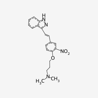 CN(C)CCCOc1ccc(/C=C/c2n[nH]c3ccccc23)cc1[N+](=O)[O-]